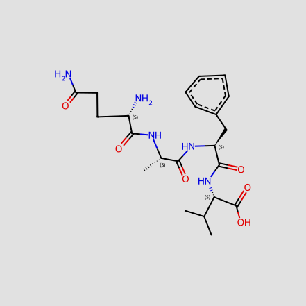 CC(C)[C@H](NC(=O)[C@H](Cc1ccccc1)NC(=O)[C@H](C)NC(=O)[C@@H](N)CCC(N)=O)C(=O)O